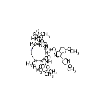 CC[C@@H]1C[C@H](C)CC/C=C\[C@@H]2C[C@@]2(C(=O)NS(=O)(=O)C2(C)CC2)NC(=O)[C@@H]2C[C@@H](Oc3ncc(-c4ccc(OC)nc4)c4cc(OC)ccc34)CN2C(=O)[C@H]1NC(=O)OC(C)(C)C